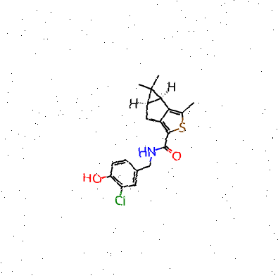 Cc1sc(C(=O)NCc2ccc(O)c(Cl)c2)c2c1[C@H]1[C@@H](C2)C1(C)C